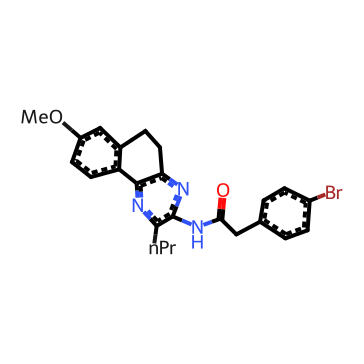 CCCc1nc2c(nc1NC(=O)Cc1ccc(Br)cc1)CCc1cc(OC)ccc1-2